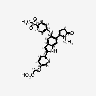 CN1C(=O)CCC1c1cc2[nH]c(-c3ccc(OCC(=O)O)cn3)cc2cc1Oc1ccc(S(C)(=O)=O)nc1